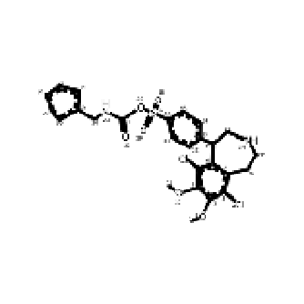 COc1c(Cl)c2c(c(Cl)c1OC)C(c1ccc(S(=O)(=O)OC(=O)NCc3ccccc3)cc1)CNCC2